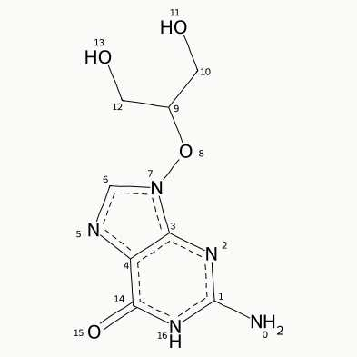 Nc1nc2c(ncn2OC(CO)CO)c(=O)[nH]1